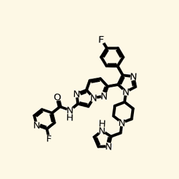 O=C(Nc1cn2nc(-c3c(-c4ccc(F)cc4)ncn3C3CCN(Cc4ncc[nH]4)CC3)ccc2n1)c1ccnc(F)c1